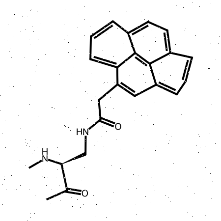 CN[C@@H](CNC(=O)Cc1cc2cccc3ccc4cccc1c4c32)C(C)=O